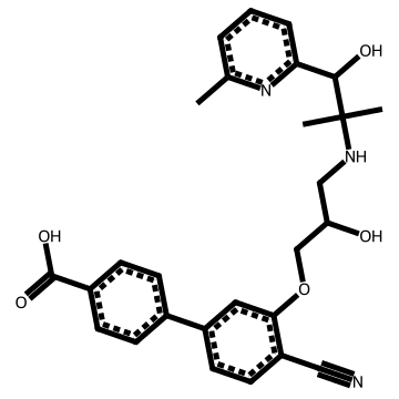 Cc1cccc(C(O)C(C)(C)NCC(O)COc2cc(-c3ccc(C(=O)O)cc3)ccc2C#N)n1